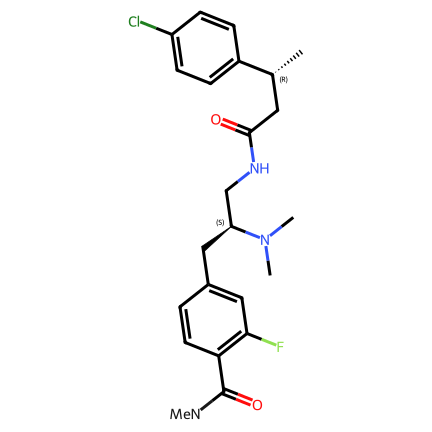 CNC(=O)c1ccc(C[C@@H](CNC(=O)C[C@@H](C)c2ccc(Cl)cc2)N(C)C)cc1F